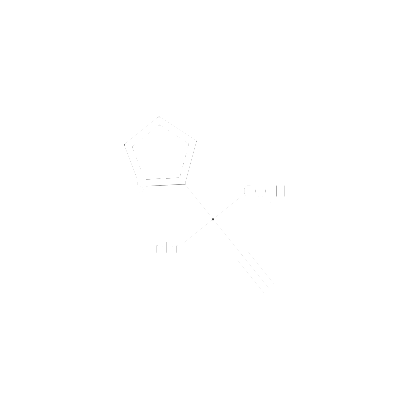 C#CC(CCC)(C(=O)O)c1cccs1